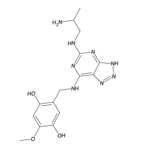 COc1cc(O)c(CNc2nc(NCC(C)N)nc3[nH]nnc23)cc1O